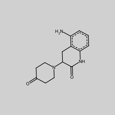 Nc1cccc2c1CC(N1CCC(=O)CC1)C(=O)N2